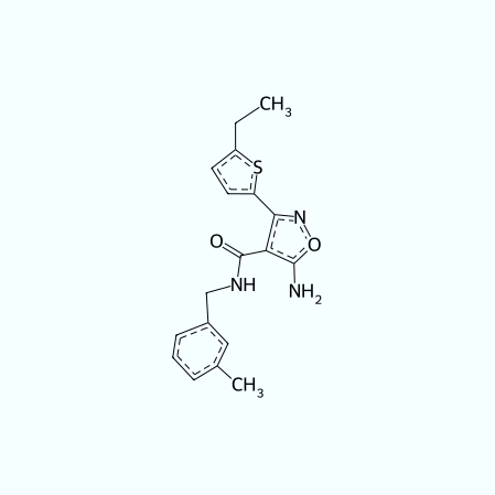 CCc1ccc(-c2noc(N)c2C(=O)NCc2cccc(C)c2)s1